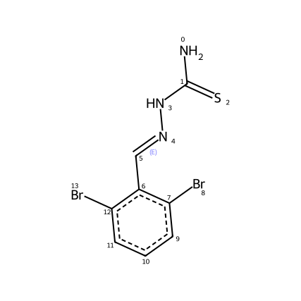 NC(=S)N/N=C/c1c(Br)cccc1Br